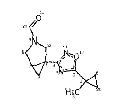 CC1(c2nc(C34CC3CN(C=O)C4)no2)CC1